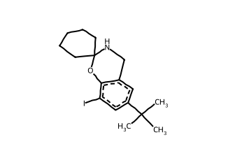 CC(C)(C)c1cc(I)c2c(c1)CNC1(CCCCC1)O2